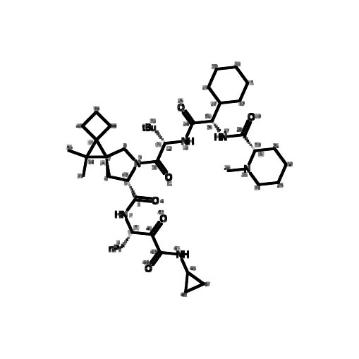 CCC[C@H](NC(=O)[C@@H]1C[C@@]2(CN1C(=O)[C@@H](NC(=O)[C@@H](NC(=O)[C@@H]1CCCCN1C)C1CCCCC1)C(C)(C)C)C(C)(C)C21CCC1)C(=O)C(=O)NC1CC1